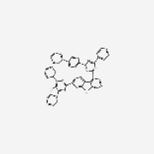 C1=CCC(c2nc(-c3ccc4c(c3)oc3cccc(-c5nc(-c6ccccc6)nc(-c6ccc(-c7ccccc7)cc6)n5)c34)nc3c2oc2ccccc23)C=C1